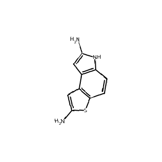 Nc1cc2c(ccc3sc(N)cc32)[nH]1